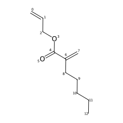 C=CCOC(=O)C(=C)CCCCC